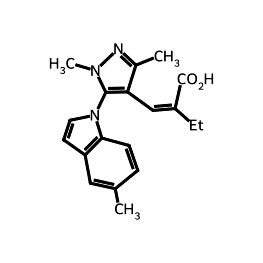 CCC(=Cc1c(C)nn(C)c1-n1ccc2cc(C)ccc21)C(=O)O